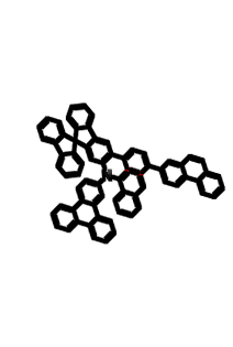 c1ccc2c(c1)-c1ccccc1C21c2ccccc2-c2cc(-c3ccc(-c4ccc5c(ccc6ccccc65)c4)cc3)c(N(c3ccc4c5ccccc5c5ccccc5c4c3)c3cccc4ccccc34)cc21